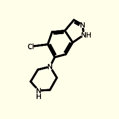 Clc1cc2cn[nH]c2cc1N1CCNCC1